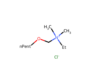 CCCCCOC[N+](C)(C)CC.[Cl-]